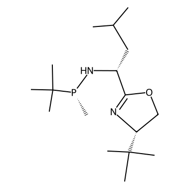 CC(C)C[C@@H](N[P@](C)C(C)(C)C)C1=N[C@@H](C(C)(C)C)CO1